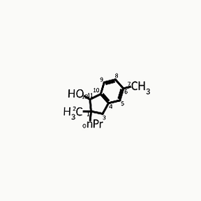 CCCC1(C)Cc2cc(C)ccc2C1O